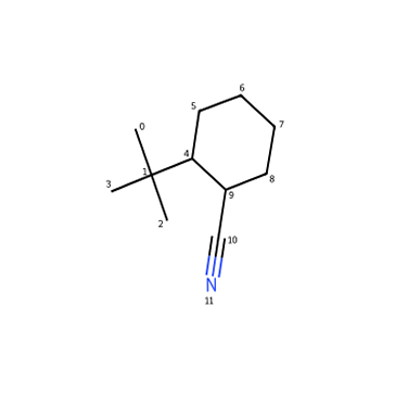 CC(C)(C)C1CCCCC1C#N